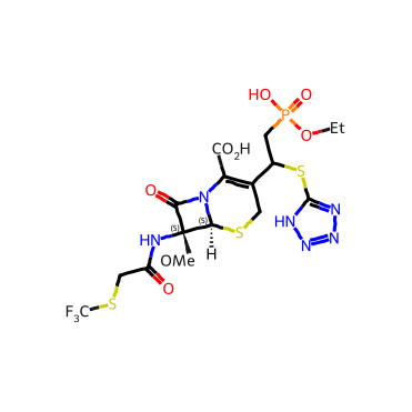 CCOP(=O)(O)CC(Sc1nnn[nH]1)C1=C(C(=O)O)N2C(=O)[C@](NC(=O)CSC(F)(F)F)(OC)[C@@H]2SC1